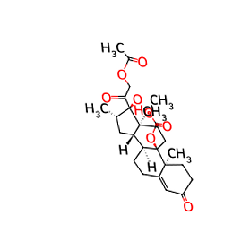 COC(=O)O[C@]12CC[C@@]3(C)[C@@H](C[C@H](C)[C@]3(O)C(=O)COC(C)=O)[C@@H]1CCC1=CC(=O)CC[C@@]12C